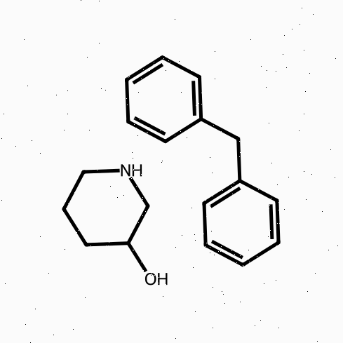 OC1CCCNC1.c1ccc(Cc2ccccc2)cc1